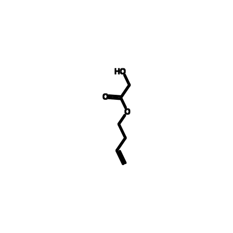 C=CCCOC(=O)CO